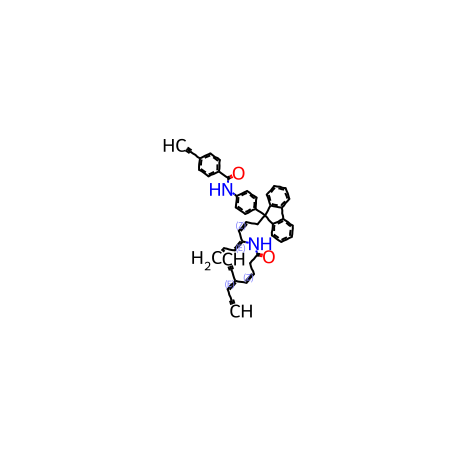 C#C/C=C(C#C)\C=C/CC(=O)NC(/C=C\CC1(c2ccc(NC(=O)c3ccc(C#C)cc3)cc2)c2ccccc2-c2ccccc21)=C/C=C